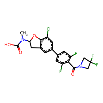 CN(C(=O)O)C1Cc2cc(-c3cc(F)c(C(=O)N4CC(F)(F)C4)c(F)c3)cc(Cl)c2O1